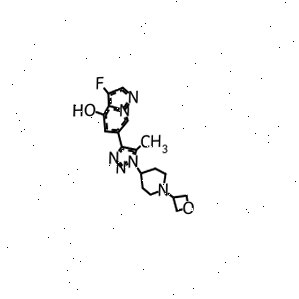 Cc1c(-c2cc(O)c3c(F)cnn3c2)nnn1C1CCN(C2COC2)CC1